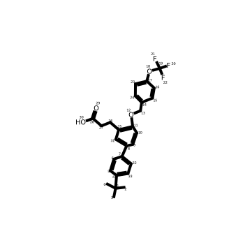 CC(C)(C)c1ccc(-c2ccc(OCc3ccc(OC(F)(F)F)cc3)c(CCC(=O)O)c2)cc1